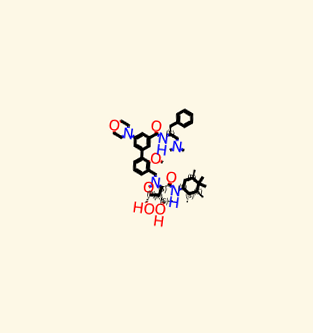 COc1c(CN2O[C@@H](CO)[C@@H]([C@H](C)O)[C@H]2C(=O)N[C@H]2C[C@@H](C)C(C)(C)[C@@H](C)[C@@H]2C)cccc1-c1cc(C(=O)N[C@@H](Cc2ccccc2)CN(C)C)cc(N2CCOCC2)c1